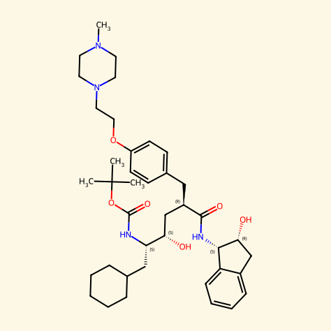 CN1CCN(CCOc2ccc(C[C@H](C[C@H](O)[C@H](CC3CCCCC3)NC(=O)OC(C)(C)C)C(=O)N[C@H]3c4ccccc4C[C@H]3O)cc2)CC1